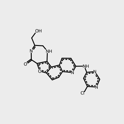 O=C1N=C(CO)CNc2c1oc1ccc3nc(Nc4cc(Cl)ncn4)ccc3c21